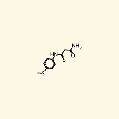 CSc1ccc(NC(=S)CC(N)=O)cc1